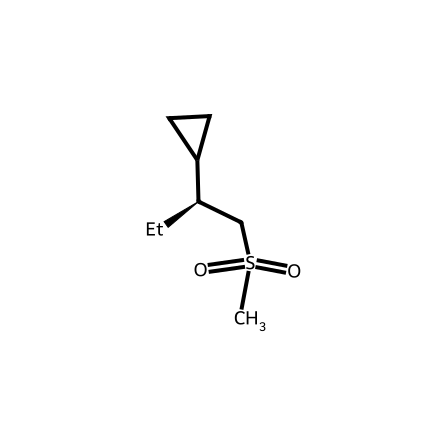 CC[C@H](CS(C)(=O)=O)C1CC1